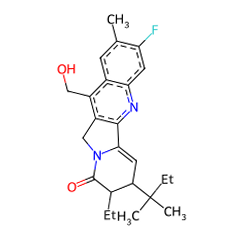 CCC1C(=O)N2Cc3c(nc4cc(F)c(C)cc4c3CO)C2=CC1C(C)(C)CC